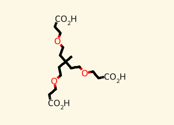 CC(CCOCCC(=O)O)(CCOCCC(=O)O)CCOCCC(=O)O